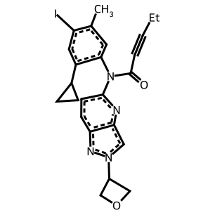 CCC#CC(=O)N(c1ccc2nn(C3COC3)cc2n1)c1cc(C)c(I)cc1C1CC1